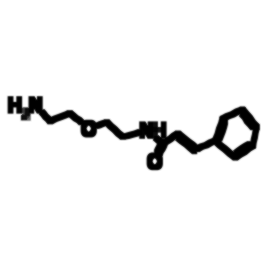 NCCOCCNC(=O)C=Cc1ccccc1